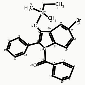 CC[N+](C)(C)Oc1c(-c2ccccc2)n(C(=O)c2ccccc2)c2ccc(Br)cc12